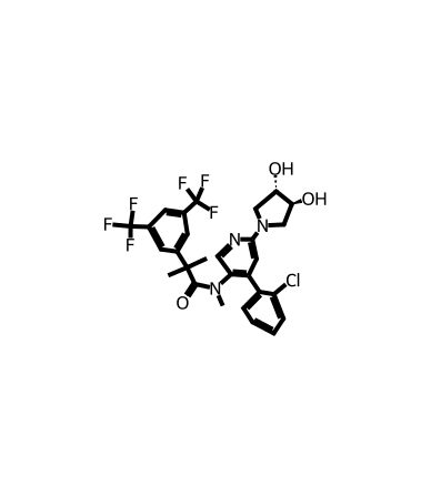 CN(C(=O)C(C)(C)c1cc(C(F)(F)F)cc(C(F)(F)F)c1)c1cnc(N2C[C@H](O)[C@@H](O)C2)cc1-c1ccccc1Cl